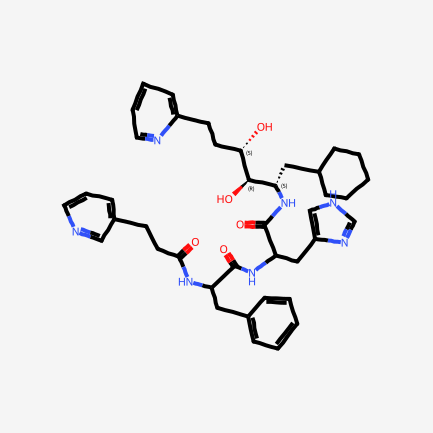 O=C(CCc1cccnc1)NC(Cc1ccccc1)C(=O)NC(Cc1c[nH]cn1)C(=O)N[C@@H](CC1CCCCC1)[C@@H](O)[C@@H](O)CCc1ccccn1